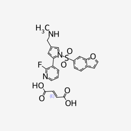 CNCc1cc(-c2cccnc2F)n(S(=O)(=O)c2ccc3ccoc3c2)c1.O=C(O)/C=C/C(=O)O